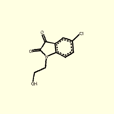 O=C1C(=O)N(CCO)c2ccc(Cl)cc21